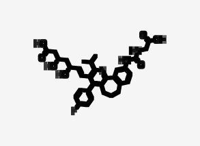 CC(C)c1nc2c(c(-c3ccc(F)cc3)c1/C=C/[C@@H](O)C[C@@H](O)CC(=O)O)CCCc1ccc(NC(=O)NCC(=O)O)cc1-2